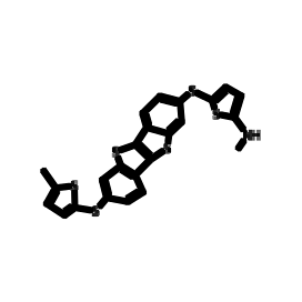 CNc1ccc(Sc2ccc3c(c2)sc2c4ccc(Sc5ccc(C)s5)cc4sc32)s1